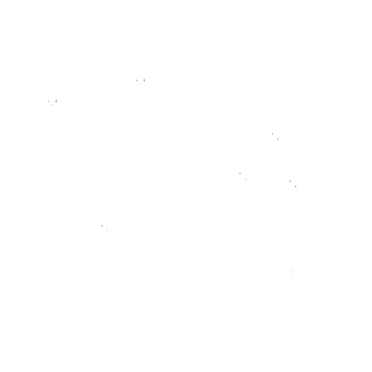 COc1ccc(S(=O)(=O)Nc2cccc(-c3cc(C)cc(Nc4nccc(C(F)(F)F)n4)c3)c2)cc1OC